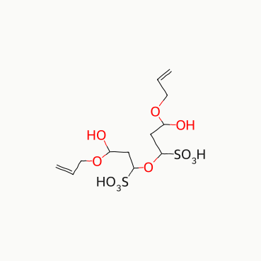 C=CCOC(O)CC(OC(CC(O)OCC=C)S(=O)(=O)O)S(=O)(=O)O